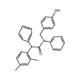 Cc1ccc(C(C(=O)N(Cc2ccc(O)cc2)c2ccccc2)c2ccccc2)c(C)c1